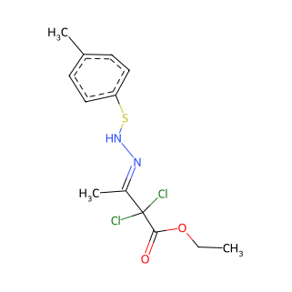 CCOC(=O)C(Cl)(Cl)/C(C)=N/NSc1ccc(C)cc1